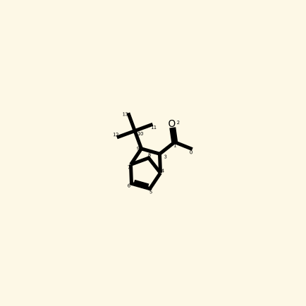 CC(=O)C1C2C=CC(C2)C1C(C)(C)C